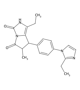 CCc1[nH]c(=O)n2c1C(c1ccc(-n3ccnc3CC)cc1)C(C)C2=O